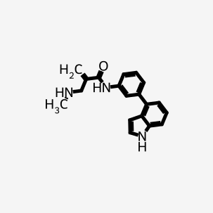 C=C(CNC)C(=O)Nc1cccc(-c2cccc3[nH]ccc23)c1